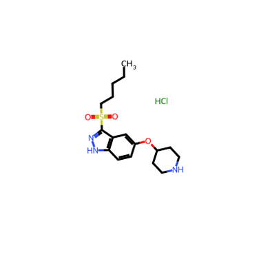 CCCCCS(=O)(=O)c1n[nH]c2ccc(OC3CCNCC3)cc12.Cl